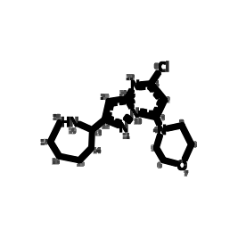 Clc1cc(N2CCOCC2)n2nc(C3CCCCCN3)cc2n1